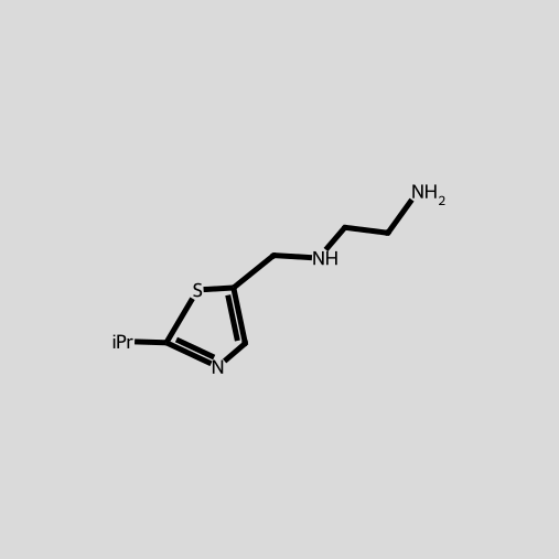 CC(C)c1ncc(CNCCN)s1